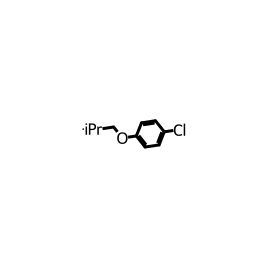 C[C](C)COc1ccc(Cl)cc1